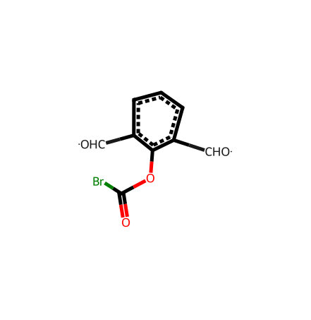 O=[C]c1cccc([C]=O)c1OC(=O)Br